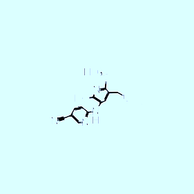 CCc1cc(Nc2ccc(C#N)cn2)c(C)nc1OC